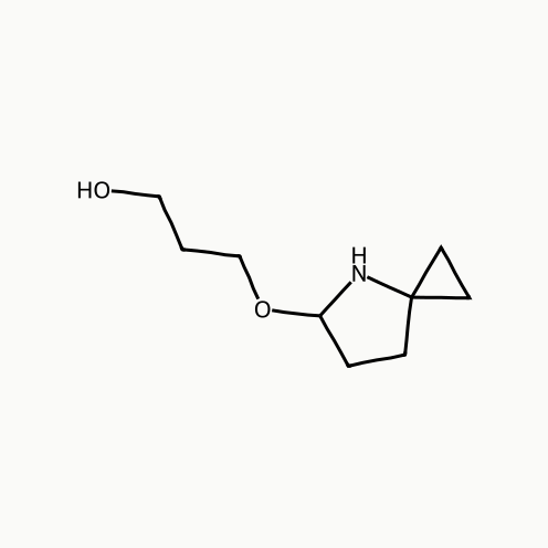 OCCCOC1CCC2(CC2)N1